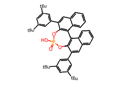 CC(C)(C)c1cc(-c2cc3ccccc3c3c2OP(=O)(O)Oc2c(-c4cc(C(C)(C)C)cc(C(C)(C)C)c4)cc4ccccc4c2-3)cc(C(C)(C)C)c1